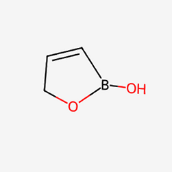 OB1C=CCO1